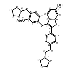 COc1cc(Cc2c(-c3ccc(CCN4CCCC4)cc3)sc3cc(O)ccc23)ccc1CN1CCCC1